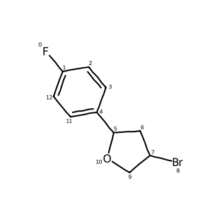 Fc1ccc(C2CC(Br)CO2)cc1